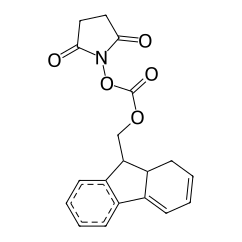 O=C(OCC1c2ccccc2C2=CC=CCC21)ON1C(=O)CCC1=O